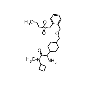 CCCS(=O)(=O)Cc1ccccc1COCC1CCC([C@H](N)C(=O)N(C)C2CCC2)CC1